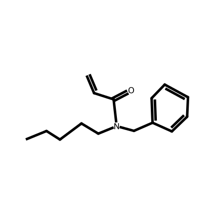 C=CC(=O)N(CCCCC)Cc1ccccc1